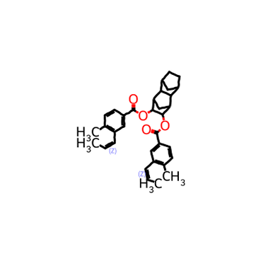 C/C=C\c1cc(C(=O)OC2C3CC(C2OC(=O)c2ccc(C)c(/C=C\C)c2)C2C4CCC(C4)C32)ccc1C